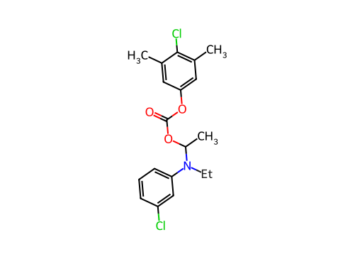 CCN(c1cccc(Cl)c1)C(C)OC(=O)Oc1cc(C)c(Cl)c(C)c1